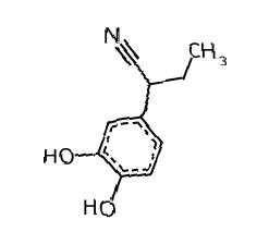 CCC(C#N)c1ccc(O)c(O)c1